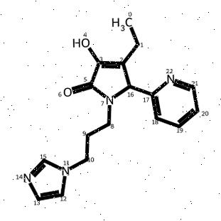 CCC1=C(O)C(=O)N(CCCn2ccnc2)C1c1ccccn1